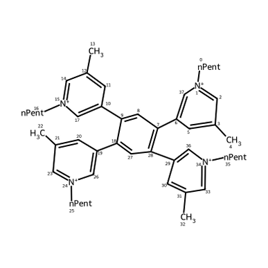 CCCCC[n+]1cc(C)cc(-c2cc(-c3cc(C)c[n+](CCCCC)c3)c(-c3cc(C)c[n+](CCCCC)c3)cc2-c2cc(C)c[n+](CCCCC)c2)c1